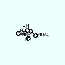 CC(=O)Nc1cccc(-c2ccc3[nH]c(=O)c(-c4nc5ccccc5[nH]4)c(N[C@H]4CN5CCC4CC5)c3c2)c1